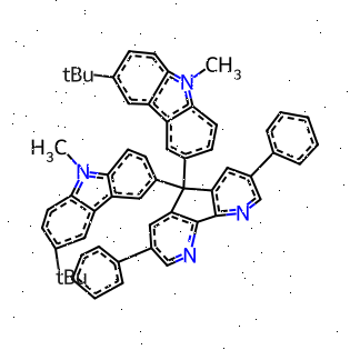 Cn1c2ccc(C(C)(C)C)cc2c2cc(C3(c4ccc5c(c4)c4cc(C(C)(C)C)ccc4n5C)c4cc(-c5ccccc5)cnc4-c4ncc(-c5ccccc5)cc43)ccc21